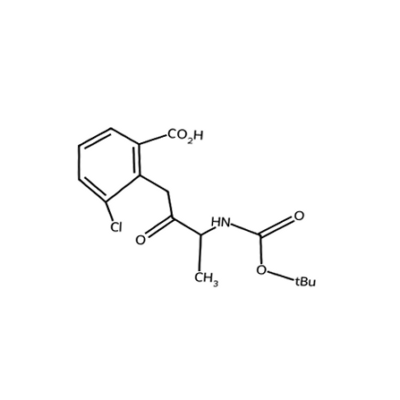 CC(NC(=O)OC(C)(C)C)C(=O)Cc1c(Cl)cccc1C(=O)O